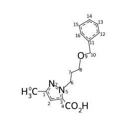 Cc1cc(C(=O)O)n(CCCOCc2ccccc2)n1